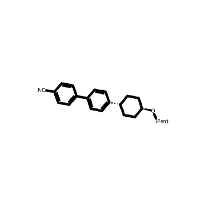 CCCC(C)O[C@H]1CC[C@H](c2ccc(-c3ccc(C#N)cc3)cc2)CC1